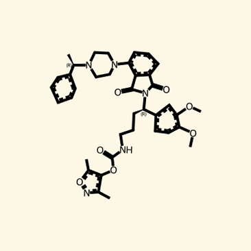 COc1ccc([C@@H](CCCNC(=O)Oc2c(C)noc2C)N2C(=O)c3cccc(N4CCN([C@H](C)c5ccccc5)CC4)c3C2=O)cc1OC